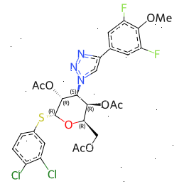 COc1c(F)cc(-c2cn([C@@H]3[C@@H](OC(C)=O)[C@@H](Sc4ccc(Cl)c(Cl)c4)O[C@H](COC(C)=O)[C@@H]3OC(C)=O)nn2)cc1F